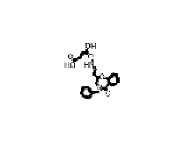 CNCCC1CN(Cc2ccccc2)C(=O)c2ccccc2O1.O=C(O)C=CC(=O)O